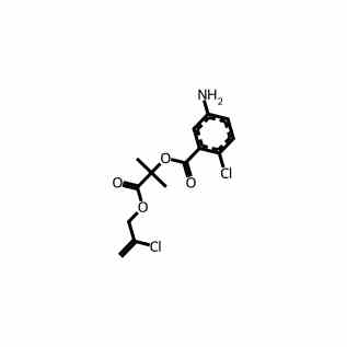 C=C(Cl)COC(=O)C(C)(C)OC(=O)c1cc(N)ccc1Cl